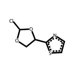 ClC1OCC(c2nccs2)O1